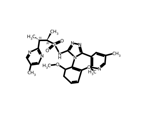 COC1=C(n2c(NS(=O)(=O)[C@H](C)[C@@H](C)c3ncc(C)cn3)nnc2-c2cncc(C)c2)C(OC)CC=C1